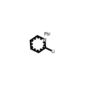 [Li][c]1ccccn1.[Pb]